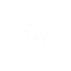 C[C@H]1CN(c2ccc(C(F)(F)F)cn2)C(=O)c2c(I)cnn21